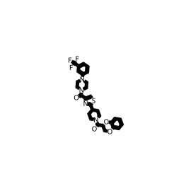 O=C(c1csc(C2CCN(C(=O)C3COc4ccccc4O3)CC2)n1)N1CCN(c2cccc(C(F)(F)F)c2)CC1